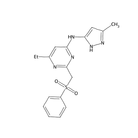 CCc1cc(Nc2cc(C)n[nH]2)nc(CS(=O)(=O)c2ccccc2)n1